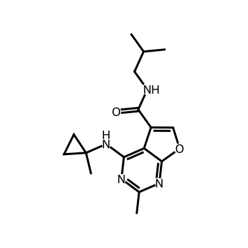 Cc1nc(NC2(C)CC2)c2c(C(=O)NCC(C)C)coc2n1